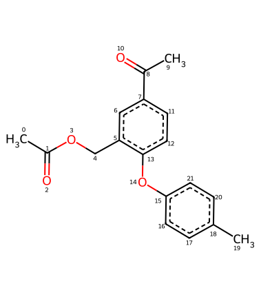 CC(=O)OCc1cc(C(C)=O)ccc1Oc1ccc(C)cc1